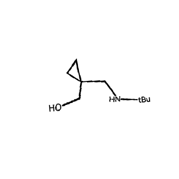 CC(C)(C)NCC1(CO)CC1